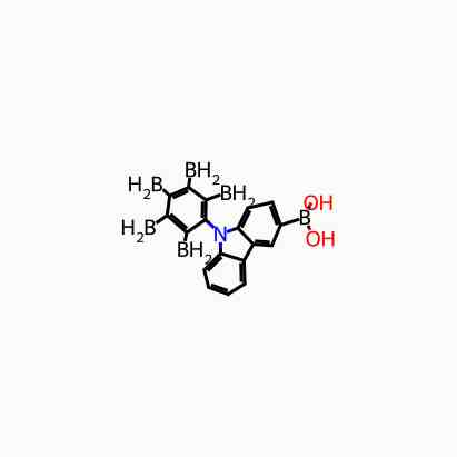 Bc1c(B)c(B)c(-n2c3ccccc3c3cc(B(O)O)ccc32)c(B)c1B